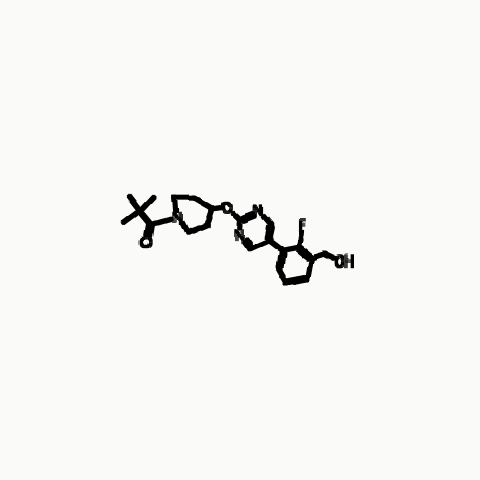 CC(C)(C)C(=O)N1CCC(Oc2ncc(-c3cccc(CO)c3F)cn2)CC1